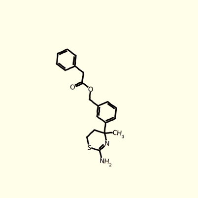 CC1(c2cccc(COC(=O)Cc3ccccc3)c2)CCSC(N)=N1